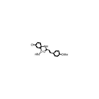 CCCCOc1cc(Cl)ccc1NC(=O)/C=C/c1ccc(OC)cc1